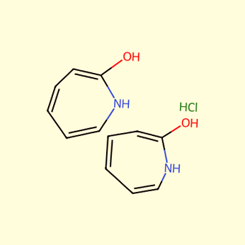 Cl.OC1=CC=CC=CN1.OC1=CC=CC=CN1